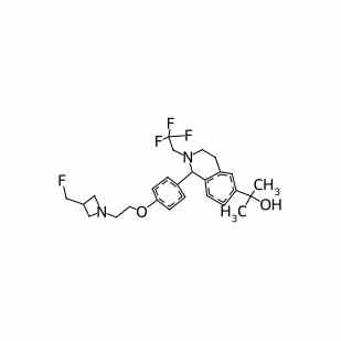 CC(C)(O)c1ccc2c(c1)CCN(CC(F)(F)F)C2c1ccc(OCCN2CC(CF)C2)cc1